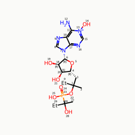 CCC(C)(C[C@H]1O[C@@H](n2cnc3c(N)[n+](O)cnc32)[C@H](O)[C@@H]1O)OP(=O)(O)C(C)(O)CC